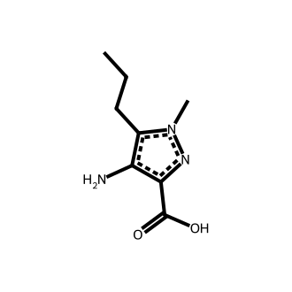 CCCc1c(N)c(C(=O)O)nn1C